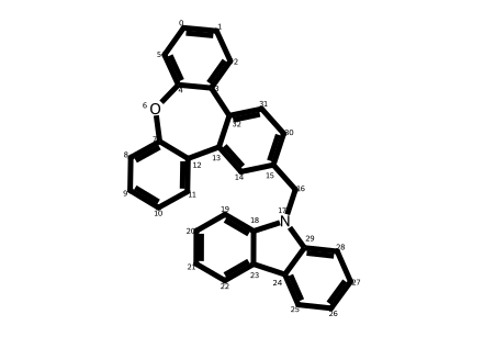 c1ccc2c(c1)Oc1ccccc1-c1cc(Cn3c4ccccc4c4ccccc43)ccc1-2